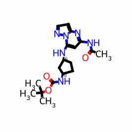 CC(=O)Nc1cc(N[C@@H]2CC[C@@H](NC(=O)OC(C)(C)C)C2)n2nccc2n1